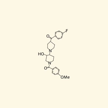 COc1ccc(C(=O)N2CCC(N3CCC(C(=O)c4ccc(F)cc4)CC3)C(O)C2)cc1